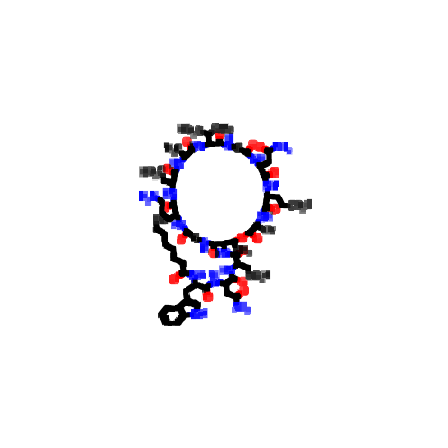 CCC(C)CCCCCCC(=O)NC(Cc1c[nH]c2ccccc12)C(=O)NC(CC(N)=O)C(=O)NC(CC(=O)O)C(=O)NC1C(=O)NCC(=O)NC(CCCN)C(=O)NC(CC(=O)O)C(=O)NC(C)C(=O)NC(C(OC)C(=O)O)C(=O)NCC(=O)NC(CC(N)=O)C(=O)NC(CCC(=O)O)C(=O)NC(C(C)C)C(=O)OC1C